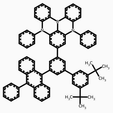 CC(C)(C)c1cc(-c2cc(-c3cc4c5c(c3)N(c3ccccc3)c3ccccc3B5c3ccccc3N4c3ccccc3)cc(-c3c4ccccc4c(-c4ccccc4)c4ccccc34)c2)cc(C(C)(C)C)c1